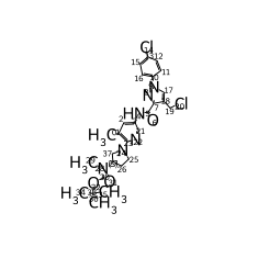 Cc1cc(NC(=O)c2nn(-c3ccc(Cl)cc3)cc2CCl)cnc1N1CC[C@H](N(C)C(=O)OC(C)(C)C)C1